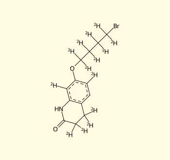 [2H]c1cc2c(c([2H])c1OC([2H])([2H])C([2H])([2H])C([2H])([2H])C([2H])([2H])Br)NC(=O)C([2H])([2H])C2([2H])[2H]